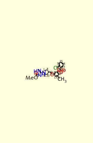 COC(=O)NC(=N)N1CCC(COc2cc(C)cc(OS(=O)(=O)c3ccccc3Cl)c2)CC1